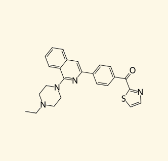 CCN1CCN(c2nc(-c3ccc(C(=O)c4nccs4)cc3)cc3ccccc23)CC1